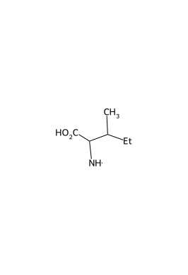 CCC(C)C([NH])C(=O)O